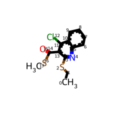 CCSc1nc2ccccc2c(Cl)c1C(=O)SC